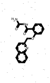 NC(=O)NC(=O)c1ccccc1OCc1ccc2ccccc2n1